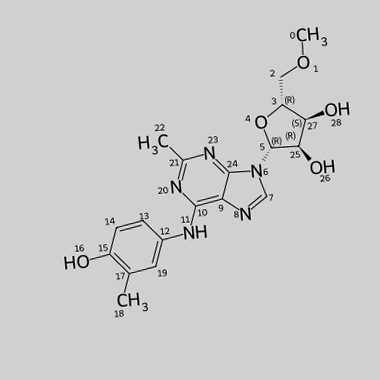 COC[C@H]1O[C@@H](n2cnc3c(Nc4ccc(O)c(C)c4)nc(C)nc32)[C@H](O)[C@@H]1O